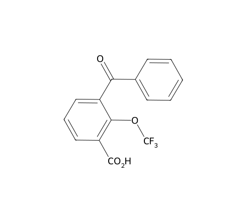 O=C(O)c1cccc(C(=O)c2ccccc2)c1OC(F)(F)F